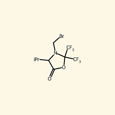 CC(C)C1C(=O)OC(C(F)(F)F)(C(F)(F)F)N1CBr